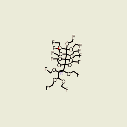 FCO/C(=C(/OCF)C(OCF)(OCF)C(OCF)(OCF)C(OCF)(OCF)C(OCF)(OCF)OCF)C(OCF)OCF